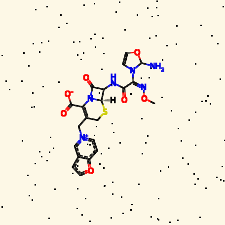 CO/N=C(\C(=O)NC1C(=O)N2C(C(=O)[O-])=C(C[n+]3ccc4occc4c3)CS[C@H]12)N1C=COC1N